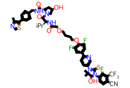 Cc1ncsc1-c1ccc(CNC(=O)[C@@H]2C[C@@H](O)CN2C(=O)[C@@H](NC(=O)COCCCCOc2c(F)cc(-c3ccc(N4C(=S)N(c5ccc(C#N)c(C(F)(F)F)c5F)C(O)C4(C)C)cn3)cc2F)C(C)C)cc1